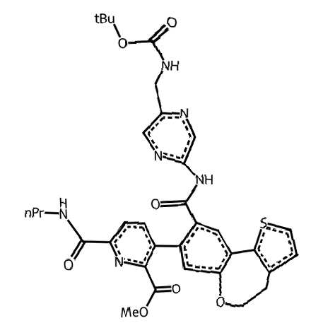 CCCNC(=O)c1ccc(-c2cc3c(cc2C(=O)Nc2cnc(CNC(=O)OC(C)(C)C)cn2)-c2sccc2CCO3)c(C(=O)OC)n1